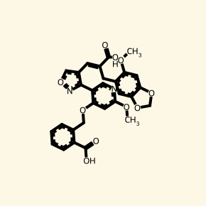 COc1cc(OCc2ccccc2C(=O)O)c(-c2nocc2/C=C(\Cc2cc3c(cc2OC)OCO3)C(=O)O)cn1